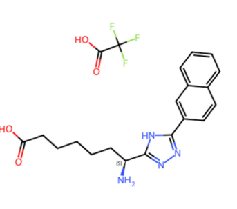 N[C@@H](CCCCCC(=O)O)c1nnc(-c2ccc3ccccc3c2)[nH]1.O=C(O)C(F)(F)F